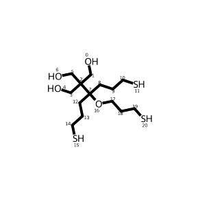 OCC(CO)(CO)C(CCCS)(CCCS)OCCCS